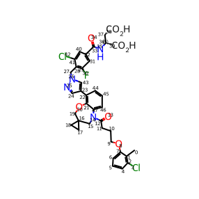 Cc1c(Cl)cccc1OCCCC(=O)N1CC2(CC2)COc2c(-c3cnn(Cc4c(F)cc(C(=O)N[C@@H](CC(=O)O)C(=O)O)cc4Cl)c3)cccc21